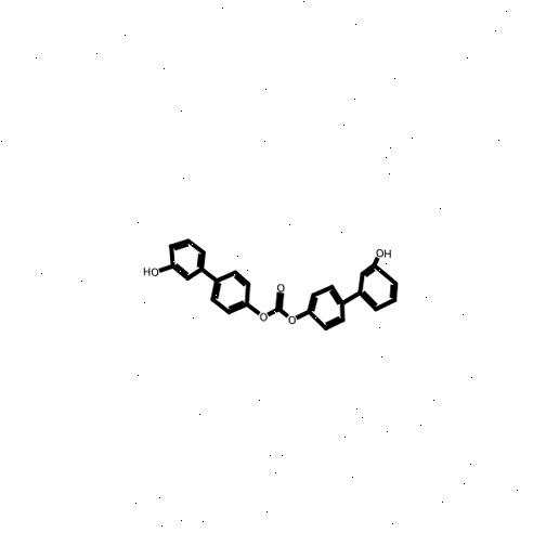 O=C(Oc1ccc(-c2cccc(O)c2)cc1)Oc1ccc(-c2cccc(O)c2)cc1